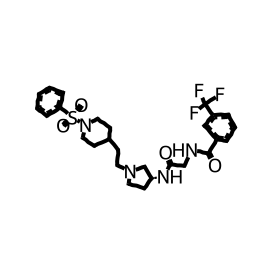 O=C(CNC(=O)c1cccc(C(F)(F)F)c1)N[C@@H]1CCN(CCC2CCN(S(=O)(=O)c3ccccc3)CC2)C1